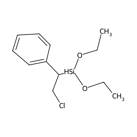 CCO[SiH](OCC)C(CCl)c1ccccc1